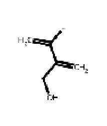 C=C(F)C(=C)CO